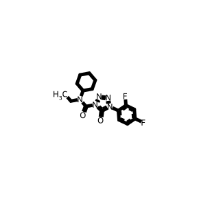 CCN(C(=O)n1nnn(-c2ccc(F)cc2F)c1=O)C1CCCCC1